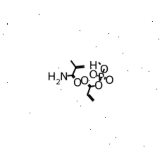 C=C(C)C(N)=O.C=CC(=O)OP(=O)(O)OC